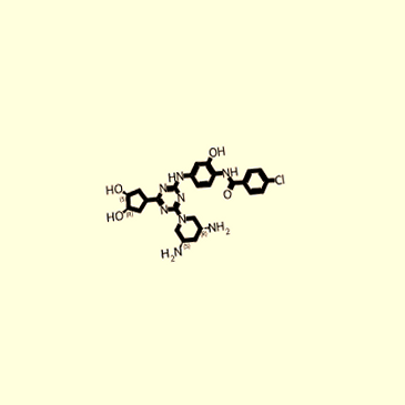 N[C@@H]1C[C@H](N)CN(c2nc(Nc3ccc(NC(=O)c4ccc(Cl)cc4)c(O)c3)nc(C3C[C@@H](O)[C@@H](O)C3)n2)C1